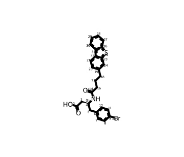 O=C(O)C[C@H](Cc1ccc(Br)cc1)NC(=O)CCCc1ccc2c(c1)sc1ccccc12